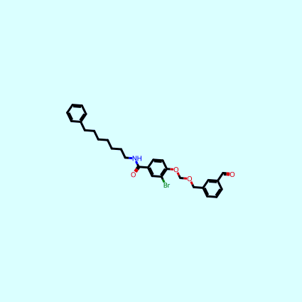 O=Cc1cccc(COCOc2ccc(C(=O)NCCCCCCCc3ccccc3)cc2Br)c1